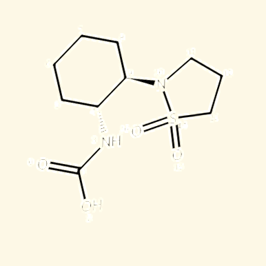 O=C(O)N[C@@H]1CCCC[C@H]1N1CCCS1(=O)=O